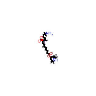 CC(C)(N)CC(CC(C)(C)I)OC(=O)CCCCCCCCC(=O)OC1CC(C)(C)NC(C)(C)C1